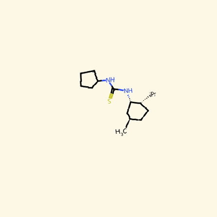 CC(C)[C@@H]1CC[C@@H](C)C[C@@H]1NC(=S)NC1CCCC1